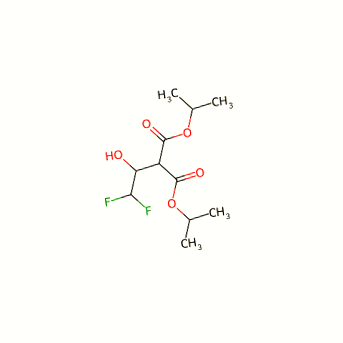 CC(C)OC(=O)C(C(=O)OC(C)C)C(O)C(F)F